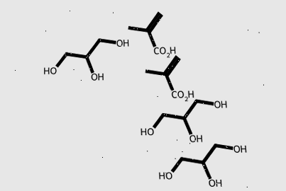 C=C(C)C(=O)O.C=C(C)C(=O)O.OCC(O)CO.OCC(O)CO.OCC(O)CO